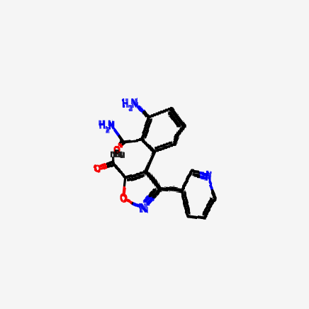 CCCCC(=O)c1onc(-c2cccnc2)c1-c1cccc(N)c1C(N)=O